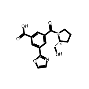 O=C(O)c1cc(C(=O)N2CCC[C@@H]2CO)cc(-c2ncco2)c1